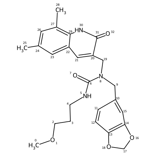 COCCCNC(=O)N(Cc1ccc2c(c1)OCO2)Cc1cc2cc(C)cc(C)c2[nH]c1=O